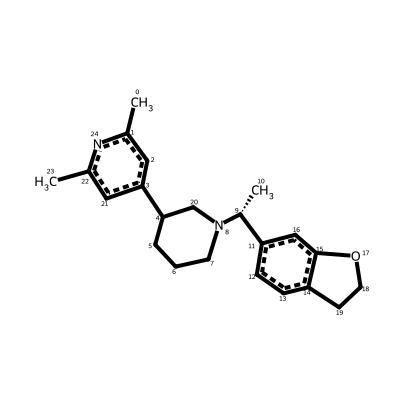 Cc1cc(C2CCCN([C@H](C)c3ccc4c(c3)OCC4)C2)cc(C)n1